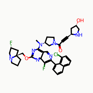 CN(c1nc(OC[C@@]23CCCN2C[C@H](F)C3)nc2c(F)c(-c3cccc4cccc(Cl)c34)ncc12)[C@@H]1CCN(C(=O)C#C[C@H]2C[C@H](O)CN2)C1